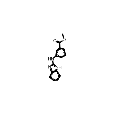 COC(=O)c1cccc(Nc2nc3ccccc3[nH]2)c1